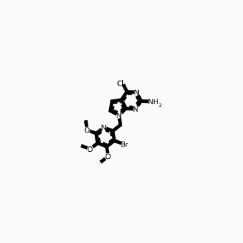 COc1nc(Cn2ccc3c(Cl)nc(N)nc32)c(Br)c(OC)c1OC